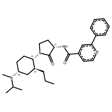 CCC[C@H]1C[C@H](N(C)C(C)C)CC[C@@H]1N1CC[C@H](NC(=O)c2ccnc(-c3ccccc3)c2)C1=O